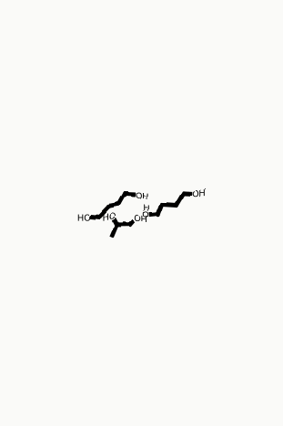 CC(O)CO.OCCCCO.OCCCCO